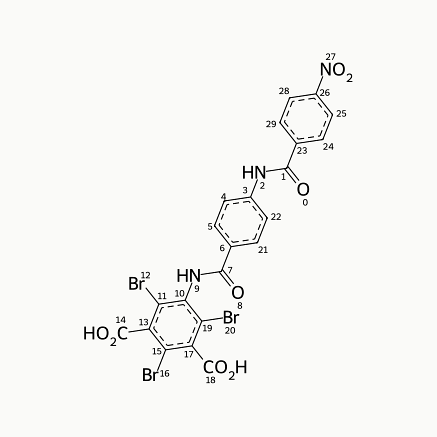 O=C(Nc1ccc(C(=O)Nc2c(Br)c(C(=O)O)c(Br)c(C(=O)O)c2Br)cc1)c1ccc([N+](=O)[O-])cc1